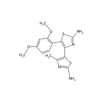 COc1ccc(-c2sc(N)nc2-c2sc(N)nc2C)c(OC)c1